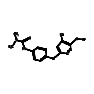 CC(C)Oc1nnc(Oc2ccc(NC(=O)N(C)C)cc2)cc1C#N